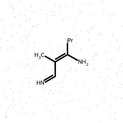 C/C(C=N)=C(/N)C(C)C